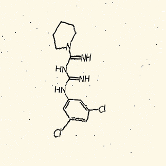 N=C(NC(=N)N1CCCCC1)Nc1cc(Cl)cc(Cl)c1